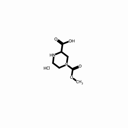 COC(=O)N1CCNC(C(=O)O)C1.Cl